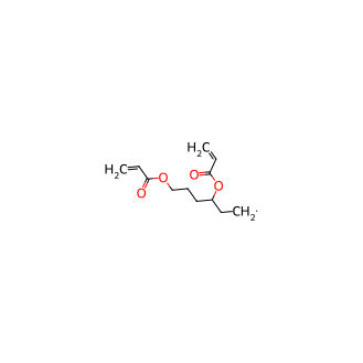 [CH2]CC(CCCOC(=O)C=C)OC(=O)C=C